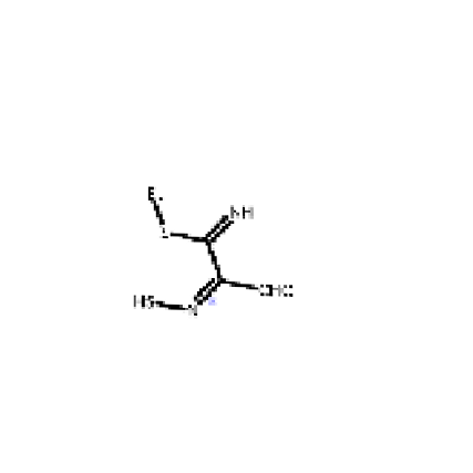 CCSC(=N)/C(C=O)=N\S